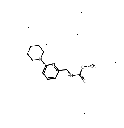 CC(C)(C)OC(=O)NCc1cccc(N2CCCCC2)n1